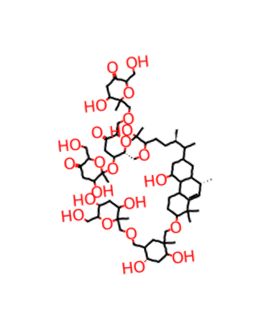 CC(C1CC(O)C2C3CCC(OCC4(C)CC(COCC5(C)OC(CO)[C@@H](O)CC5O)[C@@H](O)CC4O)C(C)(C)C3=C[C@@H](C)C2C1)[C@H](C)CCC(OC[C@H]1OC(COCC2(C)OC(CO)C(=O)CC2O)C(=O)CC1OC1(C)OC(CO)C(=O)CC1O)C(C)(C)O